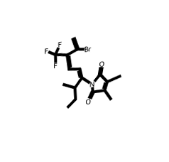 C=C(Br)/C(=C\C=C(/C(C)CC)N1C(=O)C(C)=C(C)C1=O)C(F)(F)F